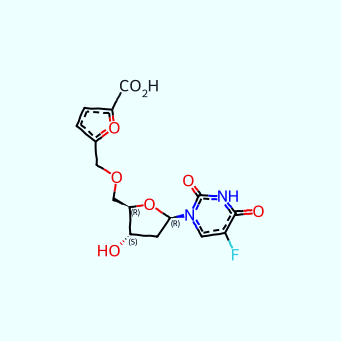 O=C(O)c1ccc(COC[C@H]2O[C@@H](n3cc(F)c(=O)[nH]c3=O)C[C@@H]2O)o1